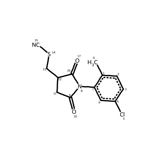 Cc1ccc(Cl)cc1N1C(=O)CC(CSC#N)C1=O